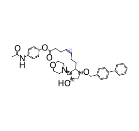 CC(=O)Nc1ccc(OC(=O)CC/C=C\CCC2[C@H](OCc3ccc(-c4ccccc4)cc3)C[C@@H](O)[C@H]2N2CCOCC2)cc1